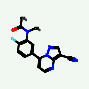 CC(=O)N(C)c1cc(-c2ccnc3c(C#N)cnn23)ccc1F